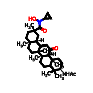 CC(=O)N[C@H]1CC[C@@]2(C)C(CC[C@]3(C)[C@@H]2C(=O)C=C2[C@@H]4C[C@@](C)(C(=O)N(O)C5CC5)CC[C@]4(C)CC[C@]23C)C1(C)C